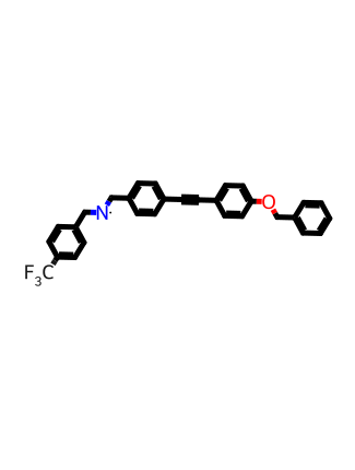 FC(F)(F)c1ccc(C[N]Cc2ccc(C#Cc3ccc(OCc4ccccc4)cc3)cc2)cc1